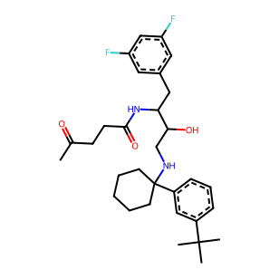 CC(=O)CCC(=O)NC(Cc1cc(F)cc(F)c1)C(O)CNC1(c2cccc(C(C)(C)C)c2)CCCCC1